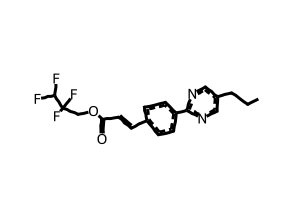 CCCc1cnc(-c2ccc(C=CC(=O)OCC(F)(F)C(F)F)cc2)nc1